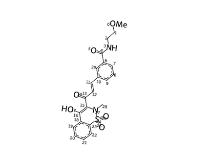 COCCNC(=O)c1cccc(C=CC(=O)C2=C(O)c3ccccc3S(=O)(=O)N2C)c1